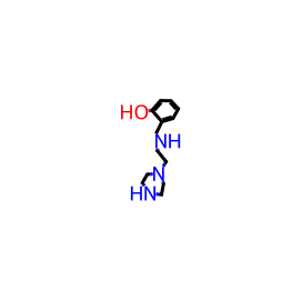 Oc1ccccc1CNCCN1CCNCC1